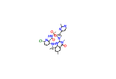 Cc1cc([C@@H](C)Nc2ccc(Cl)nc2C(=O)NS(C)(=O)=O)c2nc(N3CC[C@@H](c4ccnc(C)n4)C3)n(C)c(=O)c2c1